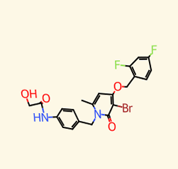 Cc1cc(OCc2ccc(F)cc2F)c(Br)c(=O)n1Cc1ccc(NC(=O)CO)cc1